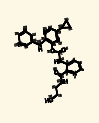 O=C(Nc1cccnc1C(=O)NCCO)Oc1nc(C2CC2)cnc1Nc1cncnc1